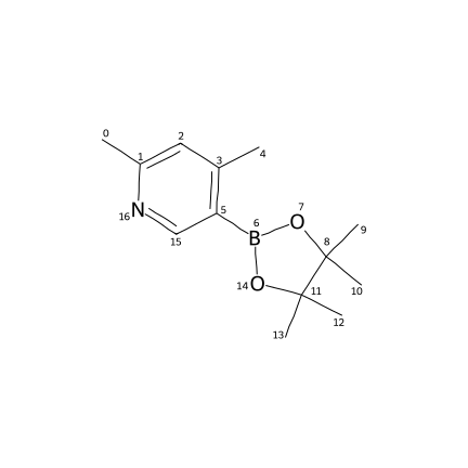 Cc1cc(C)c(B2OC(C)(C)C(C)(C)O2)cn1